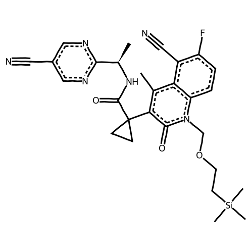 Cc1c(C2(C(=O)N[C@H](C)c3ncc(C#N)cn3)CC2)c(=O)n(COCC[Si](C)(C)C)c2ccc(F)c(C#N)c12